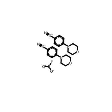 N#[N+]c1ccc(N2CCOCC2)cc1.N#[N+]c1ccc(N2CCOCC2)cc1.[O-]B([O-])F